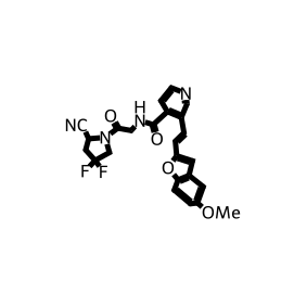 COc1ccc2oc(C=Cc3cnccc3C(=O)NCC(=O)N3CC(F)(F)CC3C#N)cc2c1